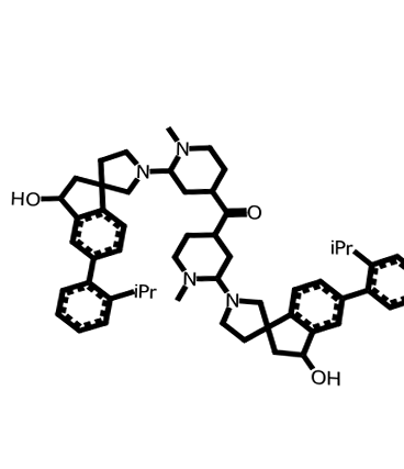 CC(C)c1ccccc1-c1ccc2c(c1)C(O)CC21CCN(C2CC(C(=O)C3CCN(C)C(N4CCC5(CC(O)c6cc(-c7ccccc7C(C)C)ccc65)C4)C3)CCN2C)C1